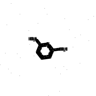 O=S(=O)(O)c1cccc(S(=O)(=O)O)n1